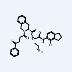 NCC[C@H](NC(=O)[C@@H]1Cc2ccccc2CN1C(=O)CCC(=O)c1ccccc1)C(=O)Nc1ccc2c(c1Cl)CCC2